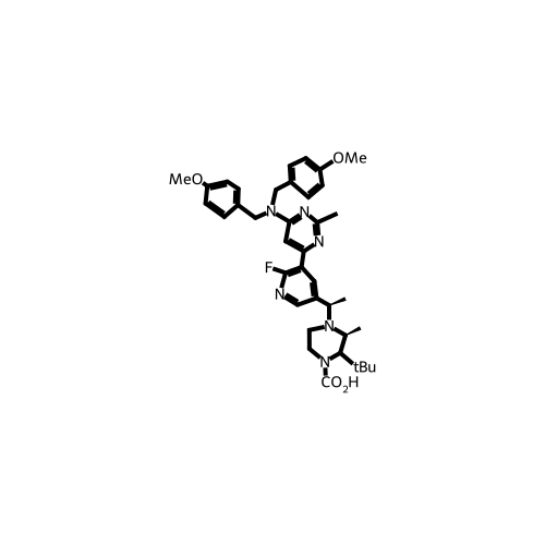 COc1ccc(CN(Cc2ccc(OC)cc2)c2cc(-c3cc([C@@H](C)N4CCN(C(=O)O)C(C(C)(C)C)[C@@H]4C)cnc3F)nc(C)n2)cc1